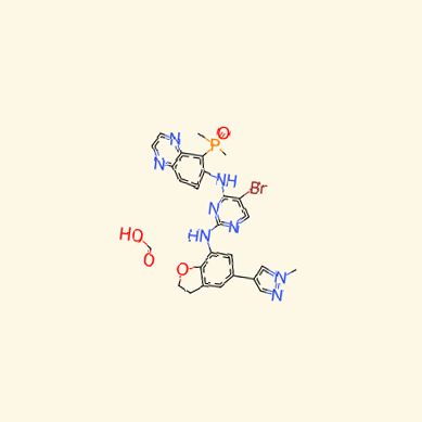 Cn1cc(-c2cc3c(c(Nc4ncc(Br)c(Nc5ccc6nccnc6c5P(C)(C)=O)n4)c2)OCC3)cn1.O=CO